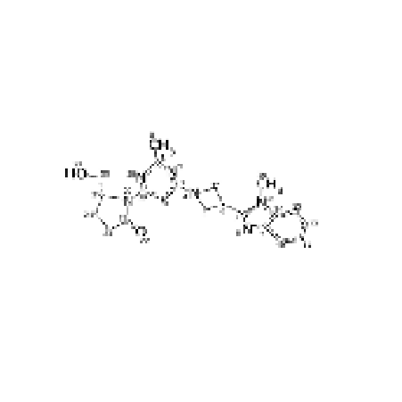 Cc1nc(N2CC(c3nc4ccccc4n3C)C2)cc(N2C(=O)CC[C@@H]2CO)n1